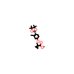 COC(=O)C1(COc2ccc(B3OC(C)(C)C(C)(C)O3)c(C)c2)CC1